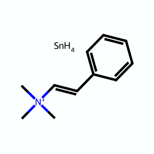 C[N+](C)(C)C=Cc1ccccc1.[SnH4]